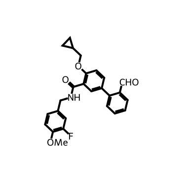 COc1ccc(CNC(=O)c2cc(-c3ccccc3C=O)ccc2OCC2CC2)cc1F